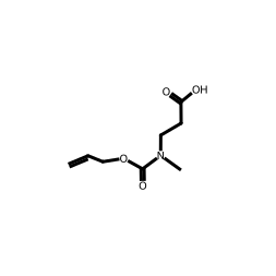 C=CCOC(=O)N(C)CCC(=O)O